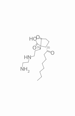 CCCCCCCC(=O)[C@H]1CCC(=O)[C@@]1(CCCNCCN)C(=O)O